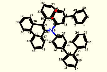 c1ccc(-c2cccc(N(c3ccc(-c4ccccc4-c4ccccc4)cc3)c3c(-c4ccccc4)c4ccccc4c4ccccc34)c2)cc1